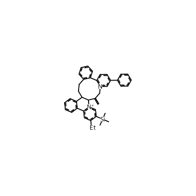 C=C1C[n+]2cc(-c3ccccc3)ccc2-c2ccccc2CCC2c3ccccc3-c3cc(CC)c([Si](C)(C)C)c[n+]3C12